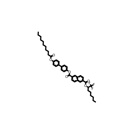 CCCCCCCCCCC(=O)Oc1ccc(-c2ccc(OC(=O)c3ccc4cc(C(=O)OC(CCCCCC)C(F)(F)F)ccc4c3)cc2)cc1